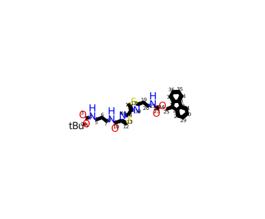 CC(C)(C)OC(=O)NCCCNC(=O)c1csc(-c2csc(CCNC(=O)OCC3c4ccccc4-c4ccccc43)n2)n1